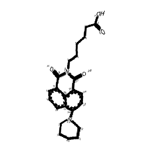 O=C(O)CCCCCN1C(=O)c2cccc3c(N4CCCCC4)ccc(c23)C1=O